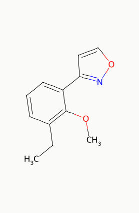 CCc1cccc(-c2ccon2)c1OC